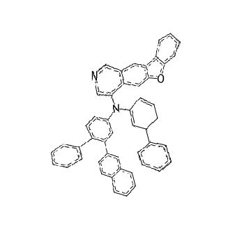 C1=CC(N(c2ccc(-c3ccccc3)c(-c3ccc4ccccc4c3)c2)c2cncc3cc4c(cc23)oc2ccccc24)=CC(c2ccccc2)C1